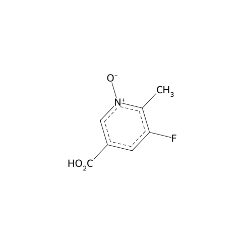 Cc1c(F)cc(C(=O)O)c[n+]1[O-]